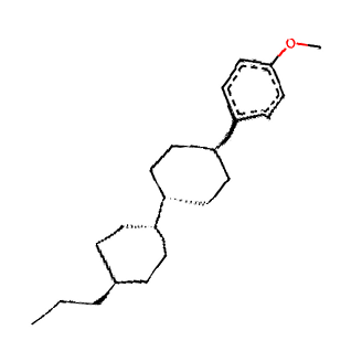 CCC[C@H]1CC[C@H]([C@H]2CC[C@H](c3ccc(OC)cc3)CC2)CC1